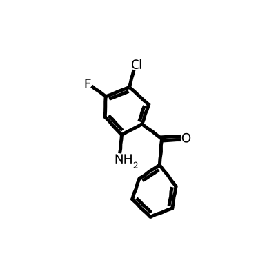 Nc1cc(F)c(Cl)cc1C(=O)c1ccccc1